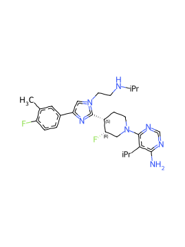 Cc1cc(-c2cn(CCNC(C)C)c([C@@H]3CCN(c4ncnc(N)c4C(C)C)C[C@@H]3F)n2)ccc1F